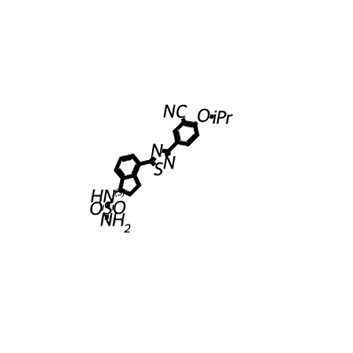 CC(C)Oc1ccc(-c2nsc(-c3cccc4c3CC[C@@H]4NS(N)(=O)=O)n2)cc1C#N